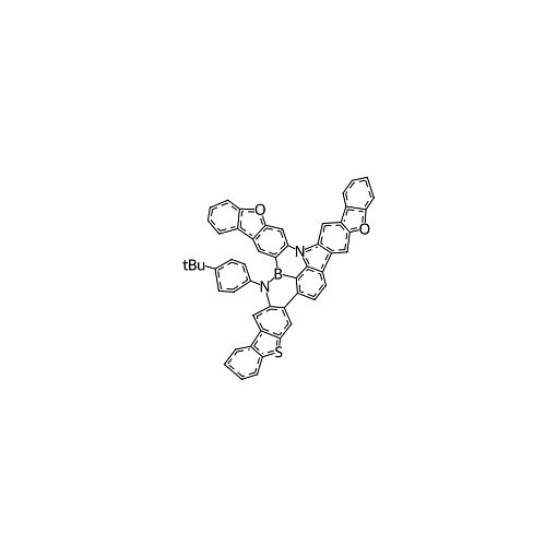 CC(C)(C)c1ccc(N2B3c4cc5c(cc4-n4c6cc7c(cc6c6ccc(c3c64)-c3cc4sc6ccccc6c4cc32)oc2ccccc27)oc2ccccc25)cc1